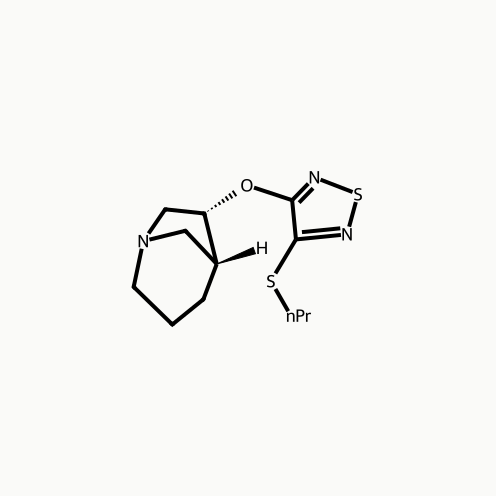 CCCSc1nsnc1O[C@H]1CN2CCC[C@@H]1C2